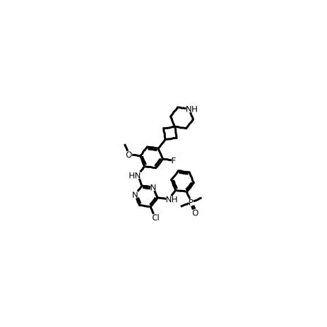 COc1cc(C2CC3(CCNCC3)C2)c(F)cc1Nc1ncc(Cl)c(Nc2ccccc2P(C)(C)=O)n1